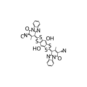 [C-]#[N+]c1c(C)c(=C2Sc3c(O)c4c(c(O)c3S2)SC(=c2c(C)c(C#N)c(=O)n3c2nc2ccccc23)S4)c2nc3ccccc3n2c1=O